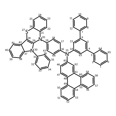 c1ccc(-c2cc(-c3ccccc3)cc(N(c3ccc(N4c5ccccc5Sc5c4n(-c4ccccc4)c4ccccc54)cc3)c3ccc4c5ccccc5c5ccccc5c4c3)c2)cc1